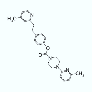 Cc1ccnc(CCc2ccc(OC(=O)N3CCN(c4cccc(C)n4)CC3)cc2)c1